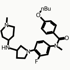 CCCCOc1ccc(C(=O)N(C)c2ccc(N3CCC(NC4CCN(C)CC4)C3)c(F)c2)cc1